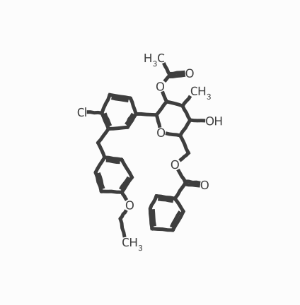 CCOc1ccc(Cc2cc(C3OC(COC(=O)c4ccccc4)C(O)C(C)C3OC(C)=O)ccc2Cl)cc1